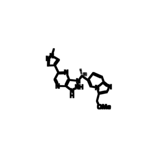 COCc1cnc2ccc([C@@H](C)N3NNc4ncc(-c5cnn(C)c5)nc43)cn12